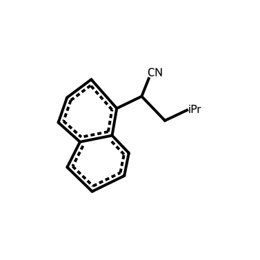 CC(C)CC(C#N)c1cccc2ccccc12